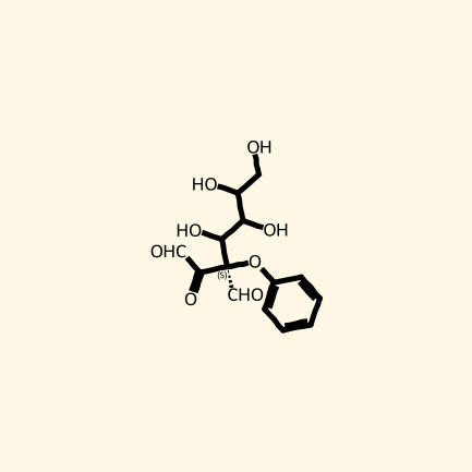 O=CC(=O)[C@](C=O)(Oc1ccccc1)C(O)C(O)C(O)CO